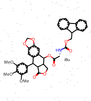 CC[C@H](C)[C@@H](NC(=O)OCC1c2ccccc2-c2ccccc21)C(=O)OC1c2cc3c(cc2C(c2cc(OC)c(OC)c(OC)c2)C2C(=O)OCC12)OCO3